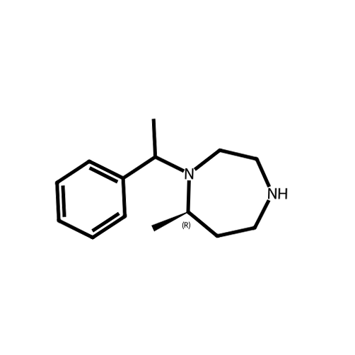 CC(c1ccccc1)N1CCNCC[C@H]1C